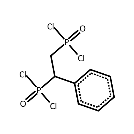 O=P(Cl)(Cl)CC(c1ccccc1)P(=O)(Cl)Cl